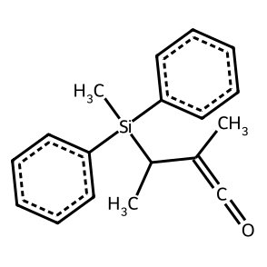 CC(=C=O)C(C)[Si](C)(c1ccccc1)c1ccccc1